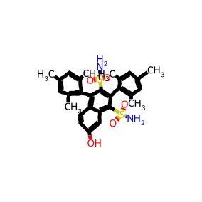 Cc1cc(C)c(-c2c(S(N)(=O)=O)c(-c3c(C)cc(C)cc3C)c3ccc(O)cc3c2S(N)(=O)=O)c(C)c1